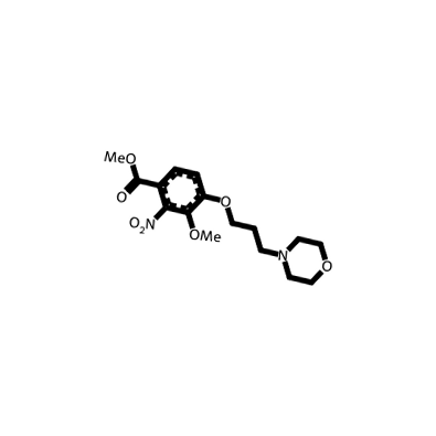 COC(=O)c1ccc(OCCCN2CCOCC2)c(OC)c1[N+](=O)[O-]